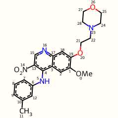 COc1cc2c(Nc3cccc(C)c3)c([N+](=O)[O-])cnc2cc1OCCN1CCOCC1